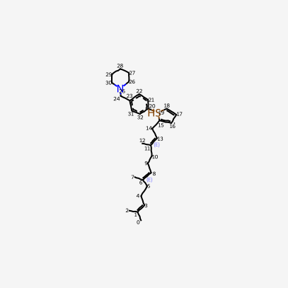 CC(C)=CCC/C(C)=C/CC/C(C)=C/CC1=[C]C=C[SH]1c1ccc(CN2CCCCC2)cc1